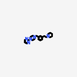 c1cnc(N2CCN(Cc3cccc(CCN4CCCCC4)c3)CC2)nc1